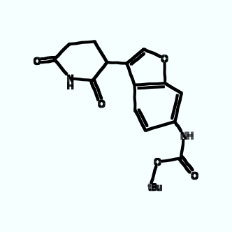 CC(C)(C)OC(=O)Nc1ccc2c(C3CCC(=O)NC3=O)coc2c1